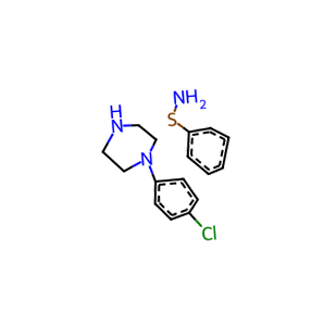 Clc1ccc(N2CCNCC2)cc1.NSc1ccccc1